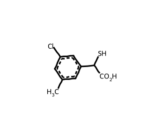 Cc1cc(Cl)cc(C(S)C(=O)O)c1